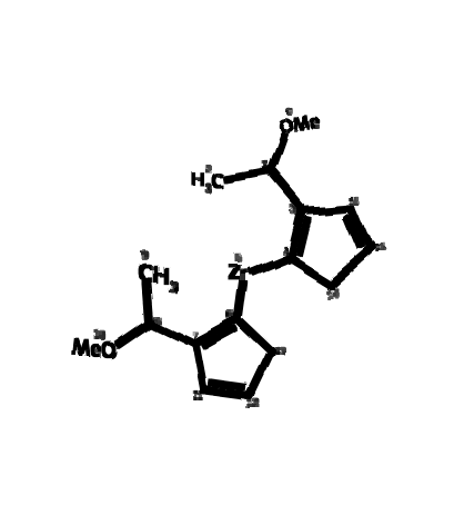 COC(C)C1=[C]([Zr][C]2=C(C(C)OC)C=CC2)CC=C1